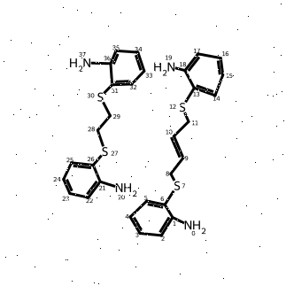 Nc1ccccc1SCC=CCSc1ccccc1N.Nc1ccccc1SCCSc1ccccc1N